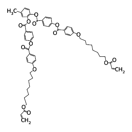 C=CC(=O)OCCCCCCCCOc1ccc(C(=O)Oc2ccc(C(=O)Oc3ccc(C)cc3OC(=O)c3ccc(OC(=O)c4ccc(OCCCCCCCCOC(=O)C=C)cc4)cc3)cc2)cc1